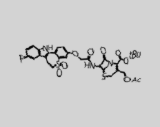 CC(=O)OCC1=C(C(=O)OC(C)(C)C)N2C(=O)C(NC(=O)COc3ccc4c(c3)S(=O)(=O)CCc3c-4[nH]c4ccc(F)cc34)C2SC1